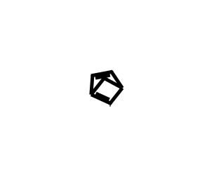 [C]1=C2C=CC1C2